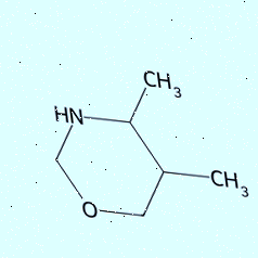 CC1COCNC1C